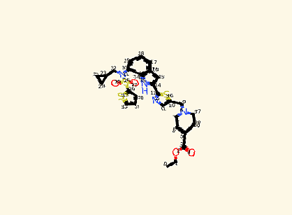 CCOC(=O)C1CCN(Cc2cnc(-c3cc4cccc(N(CC5CC5)S(=O)(=O)c5cccs5)c4[nH]3)s2)CC1